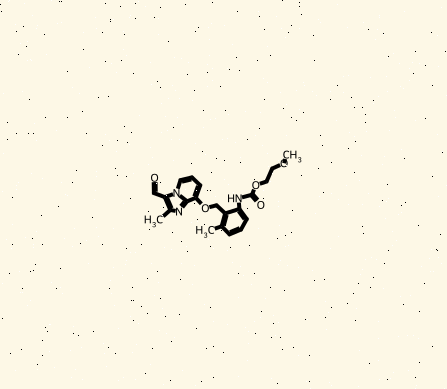 COCCOC(=O)Nc1cccc(C)c1COc1cccn2c(C=O)c(C)nc12